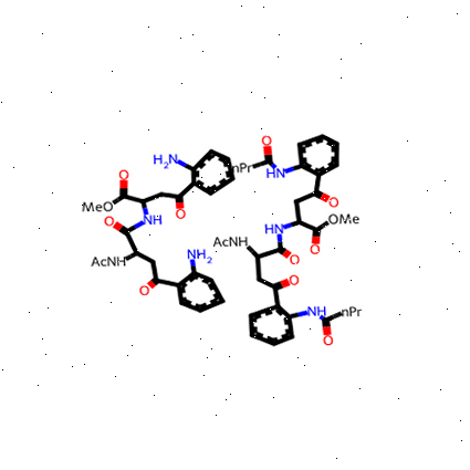 CCCC(=O)Nc1ccccc1C(=O)CC(NC(C)=O)C(=O)NC(CC(=O)c1ccccc1NC(=O)CCC)C(=O)OC.COC(=O)C(CC(=O)c1ccccc1N)NC(=O)C(CC(=O)c1ccccc1N)NC(C)=O